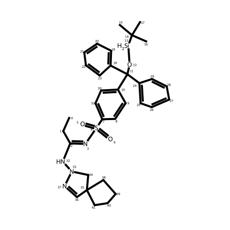 CCC(=NS(=O)(=O)c1ccc(C(O[SiH2]C(C)(C)C)(c2ccccc2)c2ccccc2)cc1)NN1CC2(C=N1)CCCC2